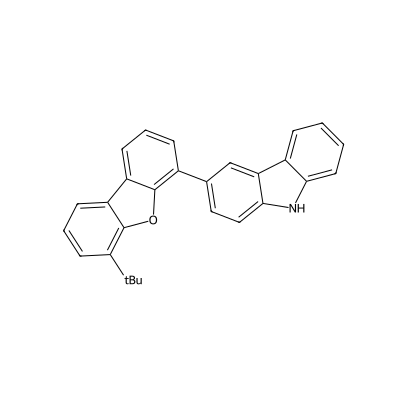 CC(C)(C)c1cccc2c1oc1c(-c3ccc4[nH]c5ccccc5c4c3)cccc12